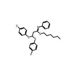 CCCCCCSC(CC(Sc1ccc(F)cc1)Sc1ccc(F)cc1)=Nc1ccccc1